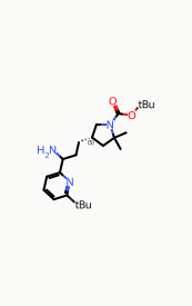 CC(C)(C)OC(=O)N1C[C@@H](CCC(N)c2cccc(C(C)(C)C)n2)CC1(C)C